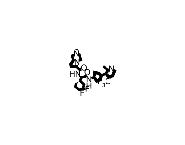 Cc1nccc(C(F)(F)F)c1-c1ccc(NC(=O)[C@@H](NC(=O)c2ccc3n2CCN(C)C3)[C@H]2CCCC(F)(F)C2)cc1